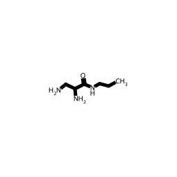 CCCNC(=O)C(N)CN